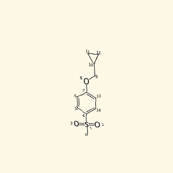 CS(=O)(=O)c1[c]cc(OCC2CC2)cc1